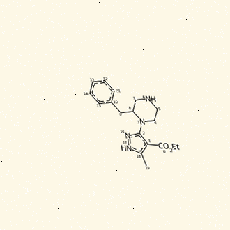 CCOC(=O)c1c(N2CCNCC2Cc2ccccc2)n[nH]c1C